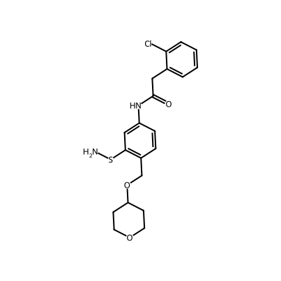 NSc1cc(NC(=O)Cc2ccccc2Cl)ccc1COC1CCOCC1